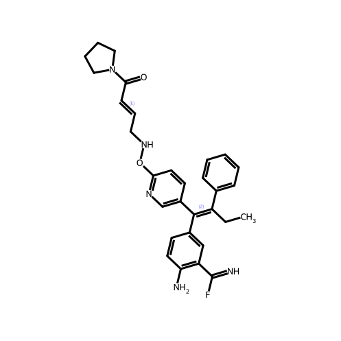 CC/C(=C(/c1ccc(ONC/C=C/C(=O)N2CCCC2)nc1)c1ccc(N)c(C(=N)F)c1)c1ccccc1